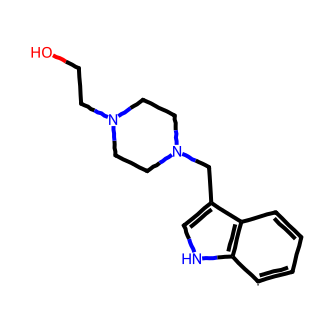 OCCN1CCN(Cc2c[nH]c3[c]cccc23)CC1